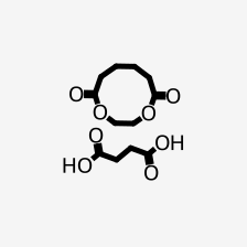 O=C(O)CCC(=O)O.O=C1CCCCC(=O)OCCO1